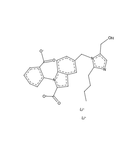 CCCCc1ncc(CO)n1Cc1ccc2c(c1)cc(C(=O)[O-])n2-c1ccccc1C(=O)[O-].[Li+].[Li+]